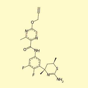 C#CCOc1cnc(C(=O)Nc2cc(F)c(F)c([C@]3(C)C[C@@H](C)SC(N)=N3)c2)c(C)n1